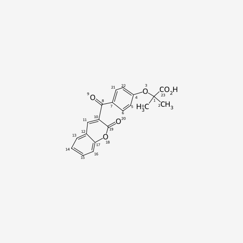 CC(C)(Oc1ccc(C(=O)c2cc3ccccc3oc2=O)cc1)C(=O)O